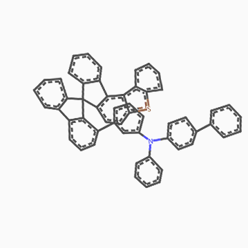 c1ccc(-c2ccc(N(c3ccccc3)c3cccc(-c4cccc5c4C4(c6ccccc6-5)c5ccccc5-c5c4ccc4sc6ccccc6c54)c3)cc2)cc1